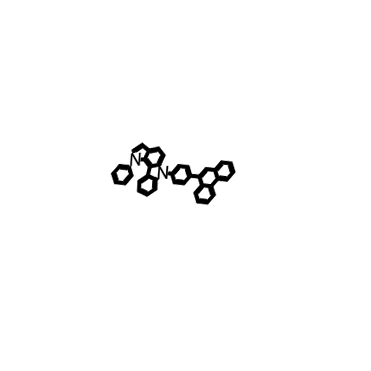 c1ccc(-n2ccc3ccc4c(c5ccccc5n4-c4ccc(-c5cc6ccccc6c6ccccc56)cc4)c32)cc1